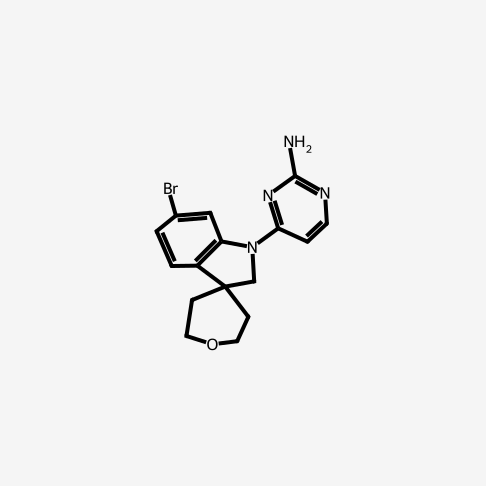 Nc1nccc(N2CC3(CCOCC3)c3ccc(Br)cc32)n1